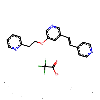 C(=Cc1cncc(OCCc2ccccn2)c1)c1ccncc1.O=C(O)C(F)(F)F